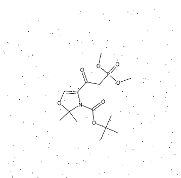 COP(=O)(CC(=O)C1=COC(C)(C)N1C(=O)OC(C)(C)C)OC